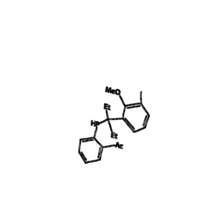 CCC(CC)(Pc1ccccc1C(C)=O)c1cccc(C)c1OC